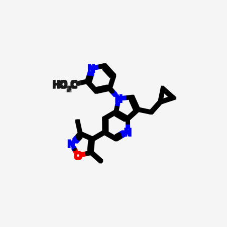 Cc1noc(C)c1-c1cnc2c(CC3CC3)cn(-c3ccnc(C(=O)O)c3)c2c1